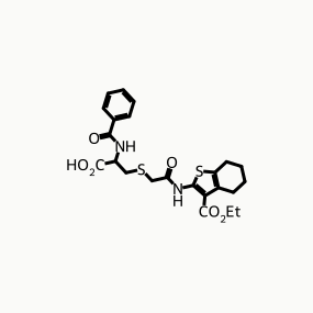 CCOC(=O)c1c(NC(=O)CSCC(NC(=O)c2ccccc2)C(=O)O)sc2c1CCCC2